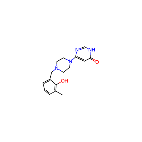 Cc1cccc(CN2CCN(c3cc(=O)[nH]cn3)CC2)c1O